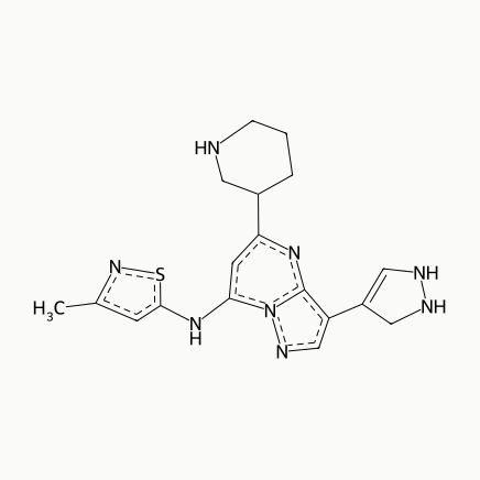 Cc1cc(Nc2cc(C3CCCNC3)nc3c(C4=CNNC4)cnn23)sn1